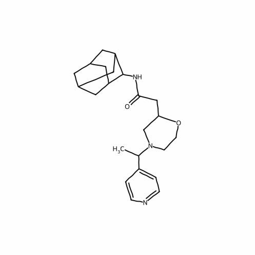 CC(c1ccncc1)N1CCOC(CC(=O)NC2C3CC4CC(C3)CC2C4)C1